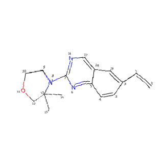 C=Cc1ccc2nc(N3CCOCC3(C)C)ncc2c1